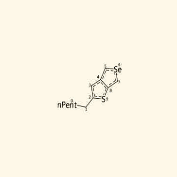 CCCCCCc1cc2c[se]cc2s1